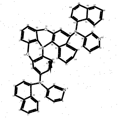 C1=CC2C(N(c3cccnc3)c3cccc4ccccc34)=CC3=C(B4c5c(cccc5Oc5cc(N(c6cccnc6)c6cccc7ccccc67)c6ccccc6c54)O3)C2C=C1